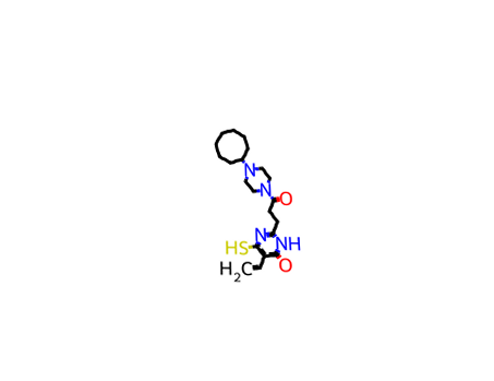 C=Cc1c(S)nc(CCC(=O)N2CCN(C3CCCCCCC3)CC2)[nH]c1=O